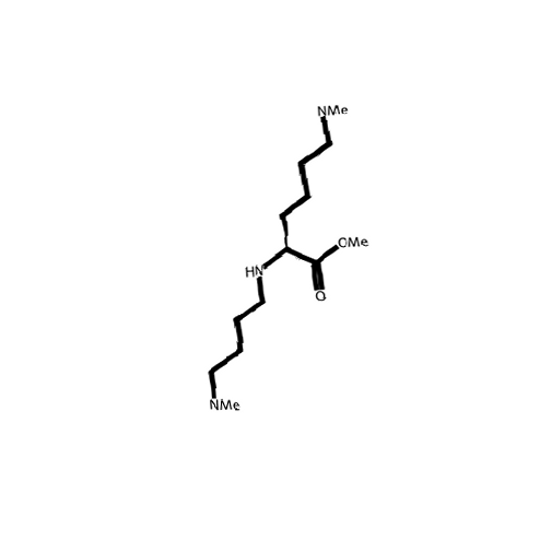 CNCCCCN[C@@H](CCCCNC)C(=O)OC